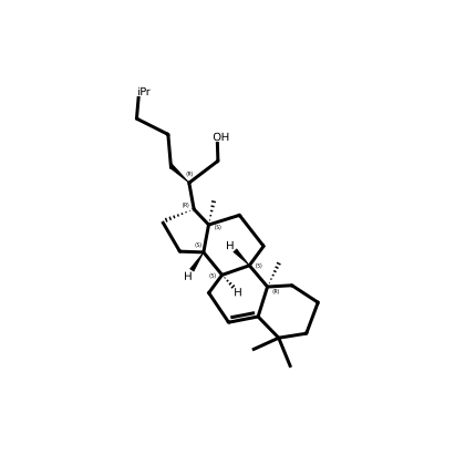 CC(C)CCC[C@@H](CO)[C@H]1CC[C@H]2[C@@H]3CC=C4C(C)(C)CCC[C@]4(C)[C@H]3CC[C@]12C